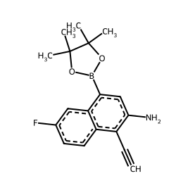 C#Cc1c(N)cc(B2OC(C)(C)C(C)(C)O2)c2cc(F)ccc12